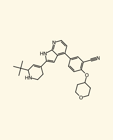 CC(C)(C)C1C=C(c2cc3c(-c4ccc(OC5CCOCC5)c(C#N)c4)ccnc3[nH]2)CCN1